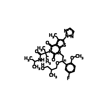 COc1ccc(F)cc1[C@H](Cn1c(=O)n(C(C)(C)C(=O)NC(C)C)c(=O)c2c(C)c(-n3nccn3)sc21)OCC(C)CO